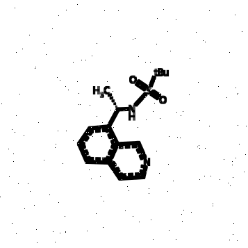 C[C@H](NS(=O)(=O)C(C)(C)C)c1cccc2ccncc12